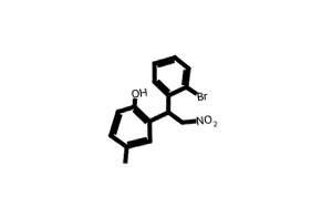 Cc1ccc(O)c(C(C[N+](=O)[O-])c2ccccc2Br)c1